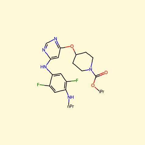 CCCNc1cc(F)c(Nc2cc(OC3CCN(C(=O)OC(C)C)CC3)ncn2)cc1F